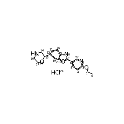 CCOc1ccc(-c2nc3ccc(C4CNCCO4)cc3o2)cn1.Cl